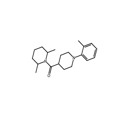 Cc1ccccc1N1CCC(C(=O)N2C(C)CCCC2C)CC1